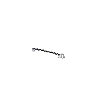 CC/C=C\CC=CCC=CCC=CCC=CCC=CCC(CCC)C(=O)O